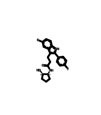 O=C(CCc1c(-c2ccc(F)cc2)[nH]c2ccc(F)cc12)N[C@@H]1CCC[C@@H]1O